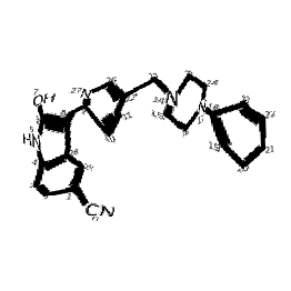 N#Cc1ccc2[nH]c(O)c(-c3ccc(CN4CCN(c5ccccc5)CC4)cn3)c2c1